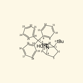 CC(C)(C)C12CCC(CN(C(c3ccccc3)(c3ccccc3)c3ccccc3)C1)N2C(=O)O